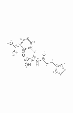 O=C(CCc1nccs1)N[C@H]1Cc2cccc(C(O)O)c2OB1O